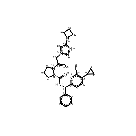 O=C(N[C@@H](c1ccccc1)c1ccc(C2CC2)c(F)n1)[C@@H]1CCCN1C(=O)Cn1cc(N2CCC2)nn1